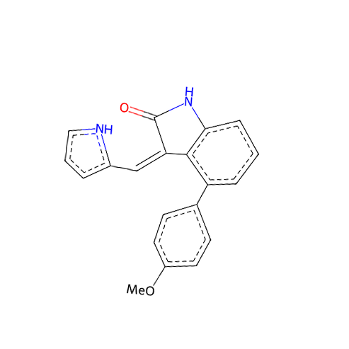 COc1ccc(-c2cccc3c2C(=Cc2ccc[nH]2)C(=O)N3)cc1